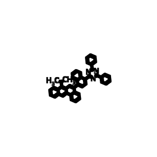 CC(C)c1c2ccccc2cc2c1cc(-c1ccc(-c3nc(-c4ccccc4)nc(-c4ccccc4)n3)c3ccccc13)c1ccccc12